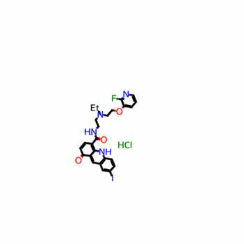 CCN(CCNC(=O)c1ccc(=O)c2cc3cc(I)ccc3[nH]c1-2)CCOc1cccnc1F.Cl